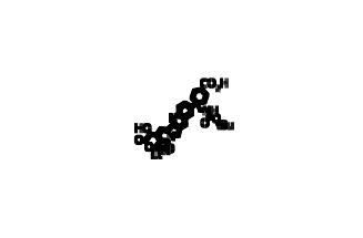 CCC1(CC)OC(=O)C(O)c2cc3n(c(=O)c21)Cc1cc2cc([C@]4(CNC(=O)OC(C)(C)C)CC[C@H](C(=O)O)CC4)ccc2nc1-3